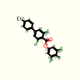 CCc1ccc(-c2cc(F)c(C(=O)Oc3cc(F)c(F)c(F)c3)c(F)c2)cc1